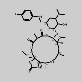 CC[C@@H]1OC(=O)C(C)C(=O)[C@H](C)[C@@H](O[C@@H]2O[C@H](CNc3ccc(F)cc3)CC(N(C)C)C2O)[C@](C)(OC)C[C@@H](C)CN[C@H](C)[C@H]2NC(=O)O[C@]12C